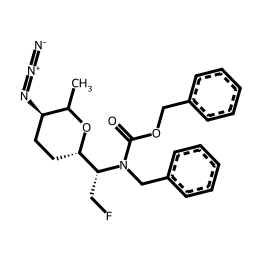 CC1O[C@H]([C@@H](CF)N(Cc2ccccc2)C(=O)OCc2ccccc2)CC[C@H]1N=[N+]=[N-]